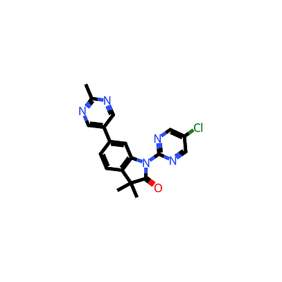 Cc1ncc(-c2ccc3c(c2)N(c2ncc(Cl)cn2)C(=O)C3(C)C)cn1